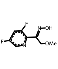 COCC(=NO)c1ncc(F)cc1F